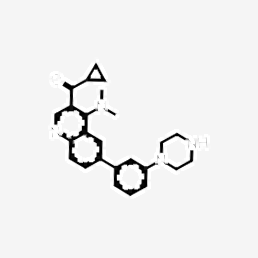 CN(C)c1c(C(=O)C2CC2)cnc2ccc(-c3cccc(N4CCNCC4)c3)cc12